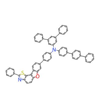 c1ccc(-c2ccc(-c3ccc(N(c4ccc(-c5ccc6c(c5)oc5ccc7nc(-c8ccccc8)sc7c56)cc4)c4cc(-c5ccccc5)cc(-c5ccccc5)c4)cc3)cc2)cc1